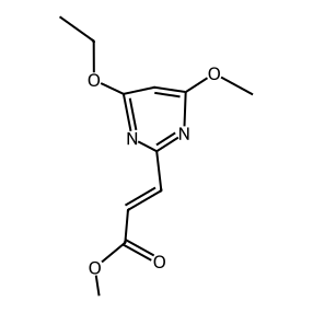 CCOc1cc(OC)nc(/C=C/C(=O)OC)n1